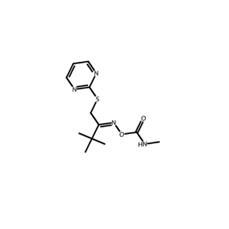 CNC(=O)ON=C(CSc1ncccn1)C(C)(C)C